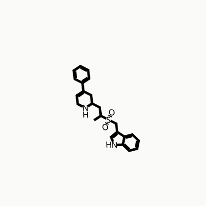 CC(CC1CC(c2ccccc2)=CCN1)S(=O)(=O)Cc1c[nH]c2ccccc12